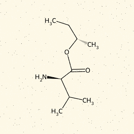 CC[C@H](C)OC(=O)[C@H](N)C(C)C